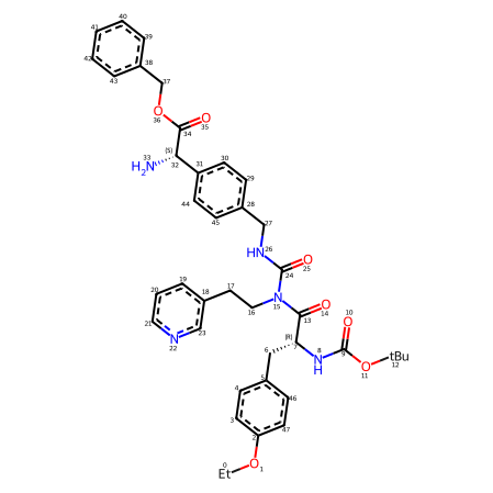 CCOc1ccc(C[C@@H](NC(=O)OC(C)(C)C)C(=O)N(CCc2cccnc2)C(=O)NCc2ccc([C@H](N)C(=O)OCc3ccccc3)cc2)cc1